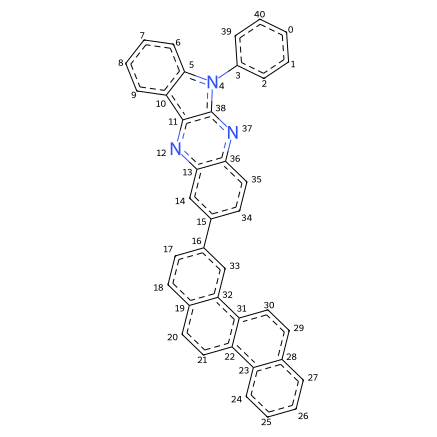 c1ccc(-n2c3ccccc3c3nc4cc(-c5ccc6ccc7c8ccccc8ccc7c6c5)ccc4nc32)cc1